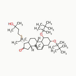 CC(SCCC(C)(C)O)[C@H]1C(=O)C[C@H]2C3=CC=C4CC(O[Si](C)(C)C(C)(C)C)CC(O[Si](C)(C)C(C)(C)C)[C@]4(C)[C@H]3CC[C@]12C